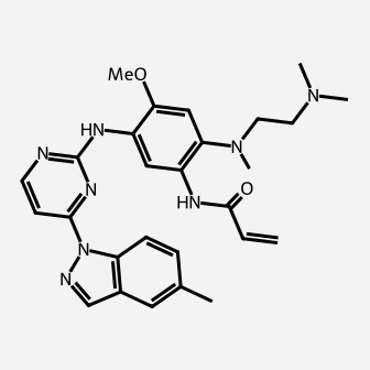 C=CC(=O)Nc1cc(Nc2nccc(-n3ncc4cc(C)ccc43)n2)c(OC)cc1N(C)CCN(C)C